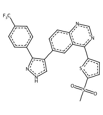 CS(=O)(=O)c1ccc(-c2ncnc3ccc(-c4c[nH]nc4-c4ccc(C(F)(F)F)cc4)cc23)s1